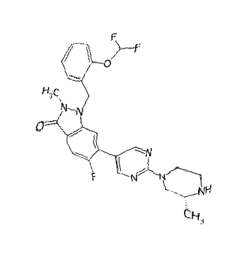 C[C@@H]1CN(c2ncc(-c3cc4c(cc3F)c(=O)n(C)n4Cc3ccccc3OC(F)F)cn2)CCN1